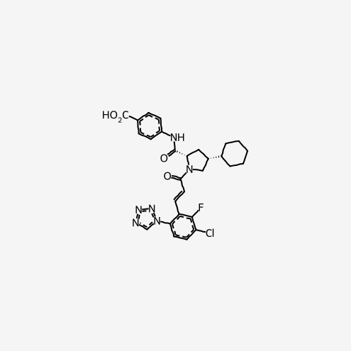 O=C(O)c1ccc(NC(=O)[C@@H]2C[C@H](C3CCCCC3)CN2C(=O)/C=C/c2c(-n3cnnn3)ccc(Cl)c2F)cc1